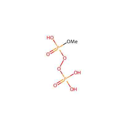 COP(=O)(O)OOP(=O)(O)O